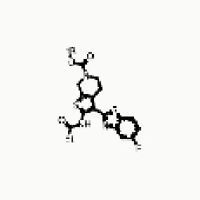 CCC(=O)Nc1sc2c(c1-c1nc3cc(F)ccc3s1)CCN(C(=O)OC(C)(C)C)C2